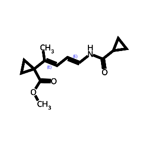 COC(=O)C1(/C(C)=C/C=C/NC(=O)C2CC2)CC1